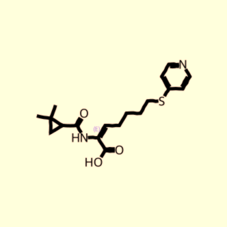 CC1(C)CC1C(=O)N/C(=C/CCCCSc1ccncc1)C(=O)O